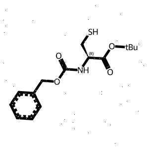 CC(C)(C)OC(=O)[C@H](CS)NC(=O)OCc1ccccc1